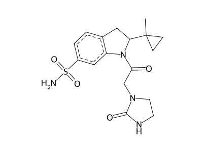 CC1(C2Cc3ccc(S(N)(=O)=O)cc3N2C(=O)CN2CCNC2=O)CC1